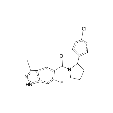 Cc1n[nH]c2cc(F)c(C(=O)N3CCCC3c3ccc(Cl)cc3)cc12